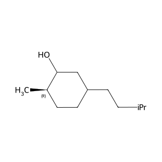 CC(C)CCC1CC[C@@H](C)C(O)C1